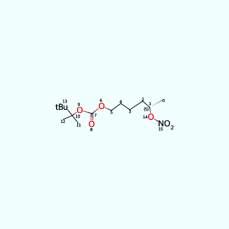 C[C@@H](CCCCOC(=O)OC(C)(C)C(C)(C)C)O[N+](=O)[O-]